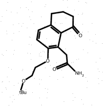 CC(C)(C)OCCOc1ccc2c(c1CC(N)=O)C(=O)CCC2